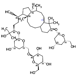 C#C[C@H](CC[C@@H](O[C@H]1C[C@@H](O)C[C@@H](CO[C@@H]2O[C@H](CO)[C@@H](O)C[C@H]2O)O1)C(C)(C)O)C1CC[C@@]2(C)C(C)C/C=C3\C(CCC[C@]12C)CC[C@H](O[C@H]1C[C@@H](O)C[C@@H](CO)O1)C3(C)C